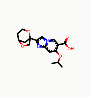 CC(C)Oc1cc2nc(C34COC(CCO3)C4)cn2cc1C(=O)O